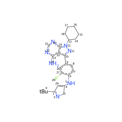 CC(C)(C)C1=NCC(Nc2ccc(-c3nn(C4CCCCC4)c4ncnc(N)c34)cc2F)=C1